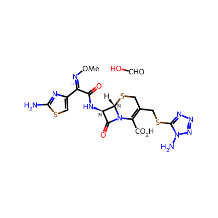 CO/N=C(\C(=O)N[C@@H]1C(=O)N2C(C(=O)O)=C(CSc3nnnn3N)CS[C@@H]12)c1csc(N)n1.O=CO